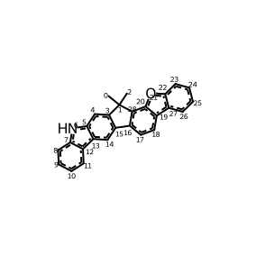 CC1(C)c2cc3[nH]c4ccccc4c3cc2-c2ccc3c(oc4ccccc43)c21